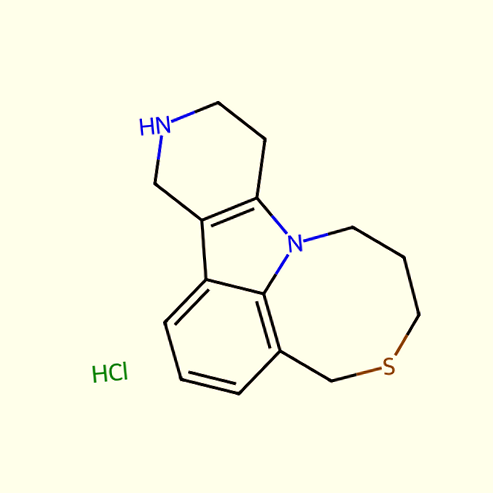 Cl.c1cc2c3c(c1)c1c(n3CCCSC2)CCNC1